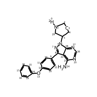 [2H]N1CCCC(n2nc(-c3ccc(Oc4ccccc4)cc3)c3c(N)ncnc32)C1